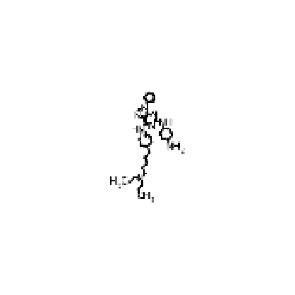 CCCN(CCC)CCCCCC1CCN(Nc2nc(N[C@H]3CC[C@H](N)CC3)nc3c2ncn3C2CCCC2)CC1